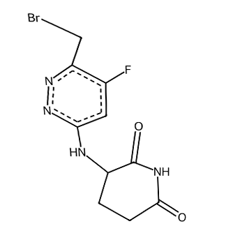 O=C1CCC(Nc2cc(F)c(CBr)nn2)C(=O)N1